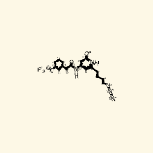 [N-]=[N+]=NCCCCc1cc(NC(=O)Cc2cccc(OC(F)(F)F)c2)cc(=O)[nH]1